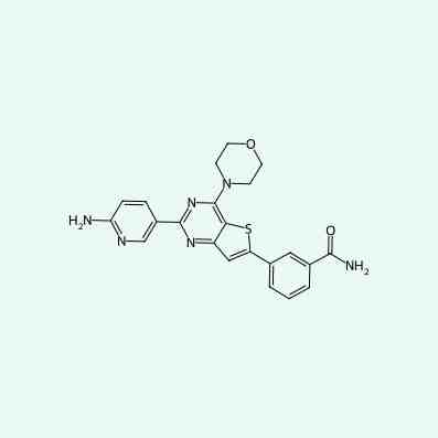 NC(=O)c1cccc(-c2cc3nc(-c4ccc(N)nc4)nc(N4CCOCC4)c3s2)c1